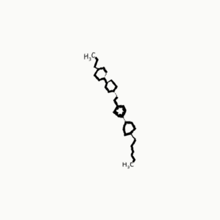 CCCCCC[C@H]1CC[C@H](c2ccc(CC[C@H]3CC[C@H]([C@H]4CC[C@H](CCC)CC4)CC3)cc2)CC1